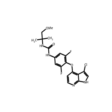 COCC(C)(C)NC(=O)Nc1cc(F)c(Oc2ccnc3[nH]cc(Cl)c23)c(F)c1